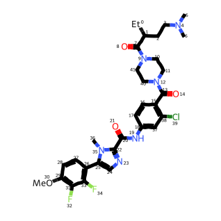 CCC(CCN(C)C)C(=O)N1CCN(C(=O)c2ccc(NC(=O)c3ncc(-c4ccc(OC)c(F)c4F)n3C)cc2Cl)CC1